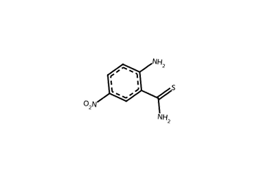 NC(=S)c1cc([N+](=O)[O-])ccc1N